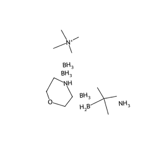 B.B.B.BC(C)(C)C.C1COCCN1.C[N+](C)(C)C.N